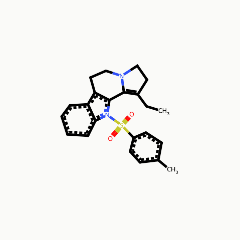 CCC1=C2c3c(c4ccccc4n3S(=O)(=O)c3ccc(C)cc3)CCN2CC1